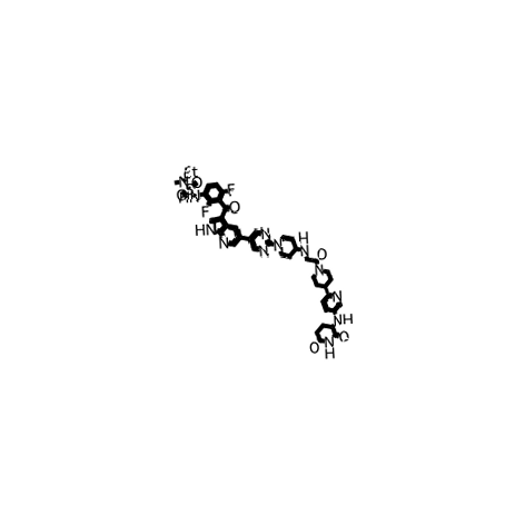 CCN(C)S(=O)(=O)Nc1ccc(F)c(C(=O)c2c[nH]c3ncc(-c4cnc(N5CCC(NCC(=O)N6CCC(c7ccc(NC8CCC(=O)NC8=O)cn7)CC6)CC5)nc4)cc23)c1F